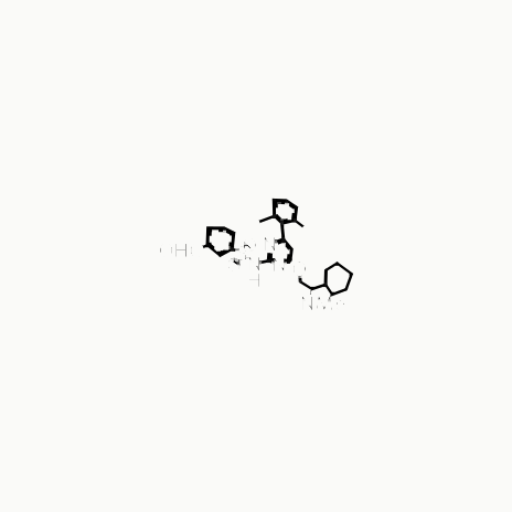 CN[C@@H](COc1cc(-c2c(C)cccc2C)nc(NS(=O)(=O)c2cccc(C=O)c2)n1)C1CCCCC1